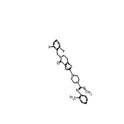 COC(=Nc1ccccc1C)N1CCN(c2nc3c(s2)CCN(Cc2c(F)cccc2F)C3=O)CC1